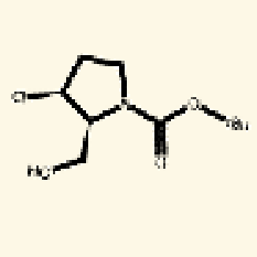 CC(C)(C)OC(=O)N1CC[C@H](Cl)[C@@H]1CO